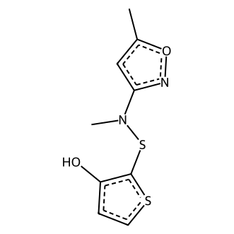 Cc1cc(N(C)Sc2sccc2O)no1